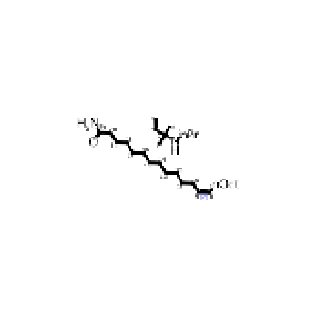 C=CC(C)(C)NCCC.CCCCCCCC/C=C\CCCCCCCCCCCC(N)=O